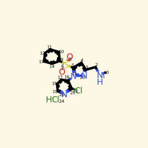 CNCc1cc(S(=O)(=O)c2ccccc2)n(-c2cccnc2Cl)n1.Cl